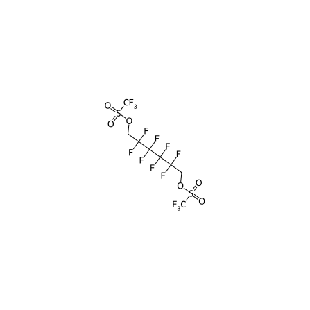 O=S(=O)(OCC(F)(F)C(F)(F)C(F)(F)C(F)(F)COS(=O)(=O)C(F)(F)F)C(F)(F)F